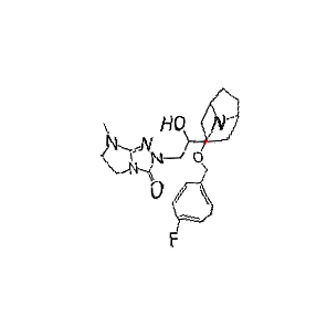 CN1CCn2c1nn(CC(O)CN1C3CCC1CC(OCc1ccc(F)cc1)C3)c2=O